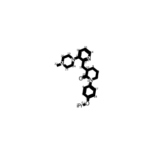 CC(C)Oc1ccc(N2CCCC(Cc3ncccc3N3CCN(C)CC3)C2=O)cc1